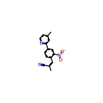 CC(C#N)=Cc1ccc(-c2cc(C)ccn2)cc1[N+](=O)[O-]